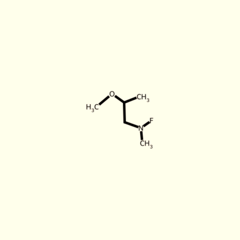 COC(C)CN(C)F